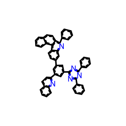 c1ccc(-c2nc(-c3ccccc3)nc(-c3cc(-c4ccc5c(c4)nc(-c4ccccc4)c4ccc6ccccc6c45)cc(-c4ccc5ccccc5n4)c3)n2)cc1